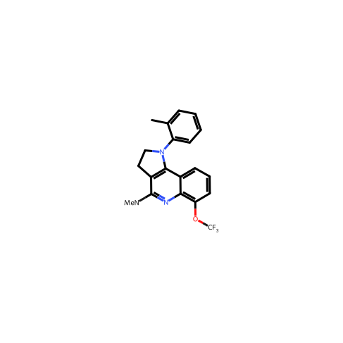 CNc1nc2c(OC(F)(F)F)cccc2c2c1CCN2c1ccccc1C